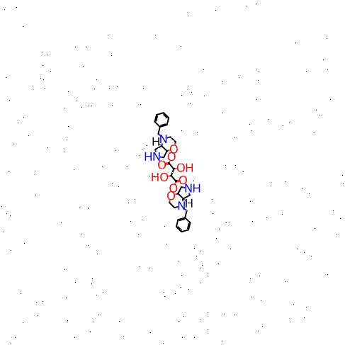 O=C(O[C@@]12CNC[C@H]1N(Cc1ccccc1)CCO2)C(O)C(O)C(=O)O[C@@]12CNC[C@H]1N(Cc1ccccc1)CCO2